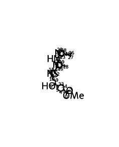 COC(=O)C1CCC(C(O)CCc2ncc(-c3cc(C)cc(Nc4cc(C5CC5)ccn4)n3)s2)CC1